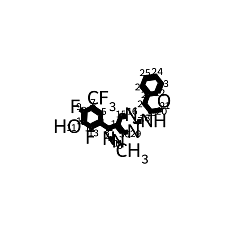 Cn1nc(-c2cc(C(F)(F)F)c(F)c(O)c2F)c2cnc(N[C@@H]3COc4ccccc4C3)nc21